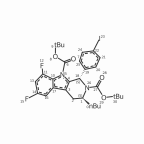 CCCC[C@H]1Cc2c(n(C(=O)OC(C)(C)C)c3c(F)cc(F)cc23)[C@H](c2ccc(I)cc2)N1C(=O)OC(C)(C)C